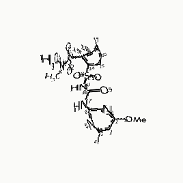 COc1cc(I)nc(NC(=O)NS(=O)(=O)c2ccccc2S(=O)(=O)N(C)C)n1